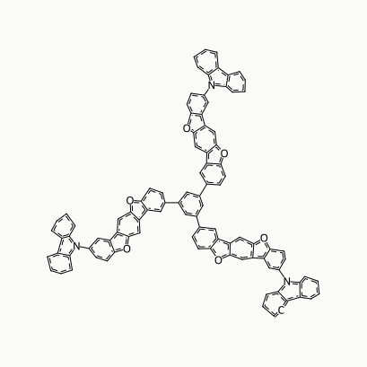 c1ccc2c(c1)c1ccccc1n2-c1ccc2oc3cc4c(cc3c2c1)oc1ccc(-c2cc(-c3ccc5oc6cc7c(cc6c5c3)oc3ccc(-n5c6ccccc6c6ccccc65)cc37)cc(-c3ccc5oc6cc7c(cc6c5c3)oc3ccc(-n5c6ccccc6c6ccccc65)cc37)c2)cc14